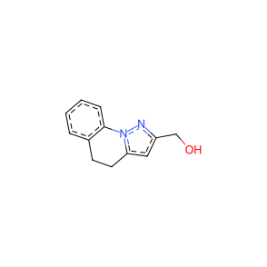 OCc1cc2n(n1)-c1ccccc1CC2